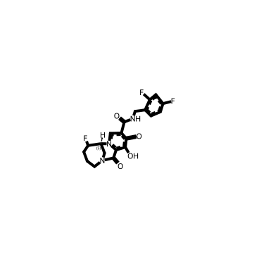 O=C(NCc1ccc(F)cc1F)c1cn2c(c(O)c1=O)C(=O)N1CCCC(F)[C@@H]2C1